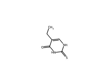 CCc1c[nH]c(=S)[nH]c1=O